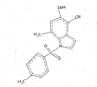 CSc1cc(C)c2c(ccn2S(=O)(=O)c2ccc(C)cc2)c1C#N